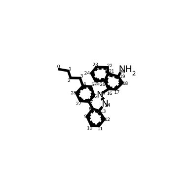 CCCCc1ccc(-c2ccccc2N=Nc2ccc(N)c3ccccc23)cc1